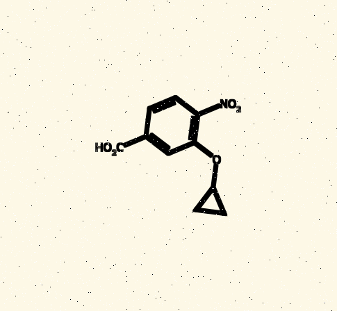 O=C(O)c1ccc([N+](=O)[O-])c(OC2CC2)c1